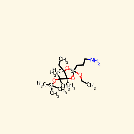 CCO[Si]1(CCCN)O[C@](C)(CC)[C@](C)(C(C)(C)O[Si](C)(C)C)O1